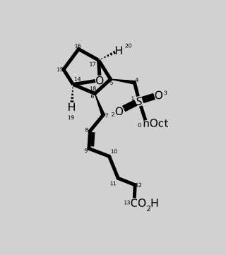 CCCCCCCCS(=O)(=O)C[C@H]1[C@@H](C/C=C\CCCC(=O)O)[C@H]2CC[C@@H]1O2